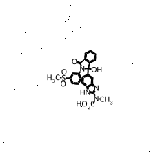 CN(C(=O)O)c1nc2cc(C3(O)c4ccccc4C(=O)N3c3cccc(S(C)(=O)=O)c3)ccc2[nH]1